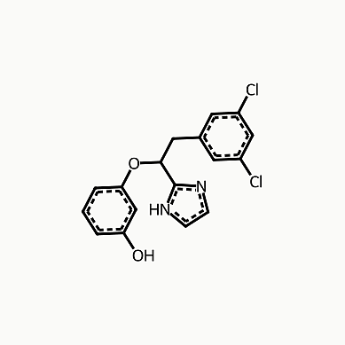 Oc1cccc(OC(Cc2cc(Cl)cc(Cl)c2)c2ncc[nH]2)c1